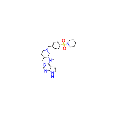 CC1CCN(Cc2ccc(S(=O)(=O)N3CCCCC3)cc2)CC1N(C)c1ncnc2[nH]ccc12